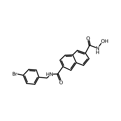 O=C(NO)c1ccc2cc(C(=O)NCc3ccc(Br)cc3)ccc2c1